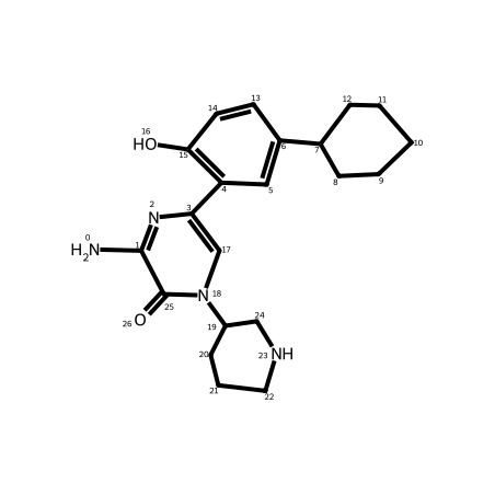 Nc1nc(-c2cc(C3CCCCC3)ccc2O)cn(C2CCCNC2)c1=O